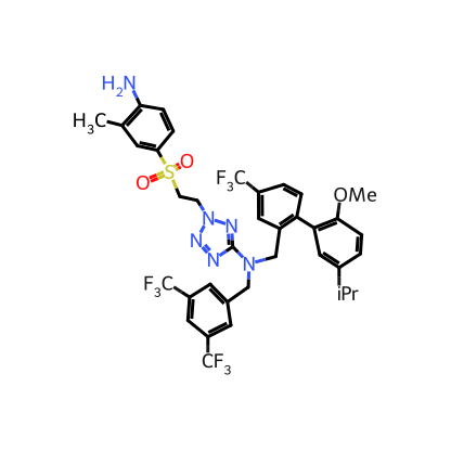 COc1ccc(C(C)C)cc1-c1ccc(C(F)(F)F)cc1CN(Cc1cc(C(F)(F)F)cc(C(F)(F)F)c1)c1nnn(CCS(=O)(=O)c2ccc(N)c(C)c2)n1